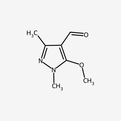 COc1c(C=O)c(C)nn1C